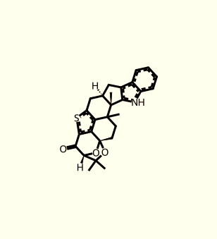 CC1(C)O[C@@]23CCC4(C)c5c(sc(c52)C(=O)[C@@H]1O3)C[C@H]1Cc2c([nH]c3ccccc23)[C@@]14C